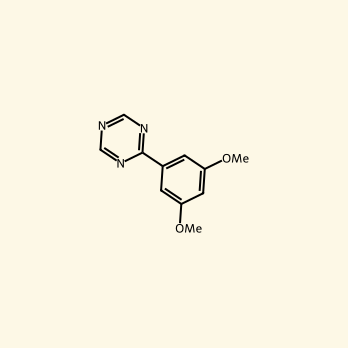 COc1cc(OC)cc(-c2ncncn2)c1